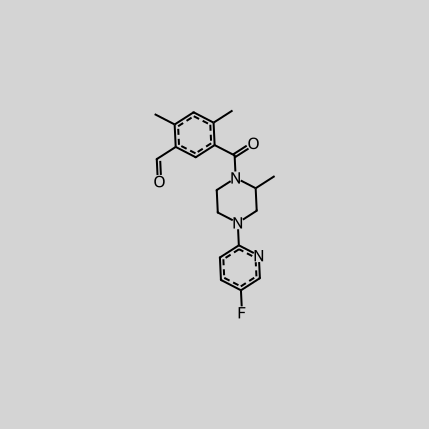 Cc1cc(C)c(C(=O)N2CCN(c3ccc(F)cn3)CC2C)cc1C=O